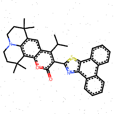 CC(C)c1c(-c2nc3c4ccccc4c4ccccc4c3s2)c(=O)oc2c3c4c(cc12)C(C)(C)CCN4CCC3(C)C